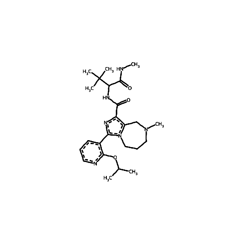 CNC(=O)C(NC(=O)c1nc(-c2cccnc2OC(C)C)n2c1CN(C)CCC2)C(C)(C)C